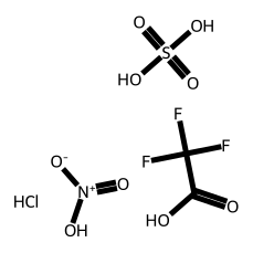 Cl.O=C(O)C(F)(F)F.O=S(=O)(O)O.O=[N+]([O-])O